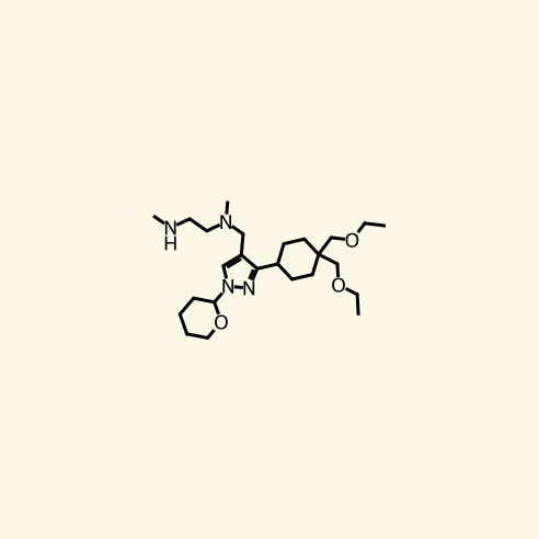 CCOCC1(COCC)CCC(c2nn(C3CCCCO3)cc2CN(C)CCNC)CC1